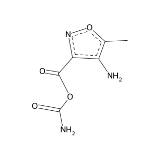 Cc1onc(C(=O)OC(N)=O)c1N